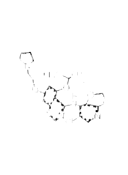 CC(C)Oc1cc(OCCN2CCCC2)cc2ncnc(Nc3c(Cl)cnc4c3OCO4)c12